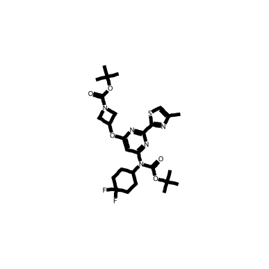 Cc1csc(-c2nc(OC3CN(C(=O)OC(C)(C)C)C3)cc(N(C(=O)OC(C)(C)C)C3CCC(F)(F)CC3)n2)n1